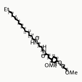 CCC=CCC=CCC=CCCCCCCCC(=O)NCCCCNC(=O)C=Cc1ccc(OCOCCOC)c(OC)c1